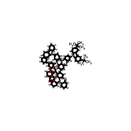 CC(C)(C)c1ccc2c(c1)c1cc(C(C)(C)C)ccc1n2-c1ccc2c(c1)Sc1cc(-c3cc4c5c(c3-c3ccccc3-c3ccccc3)Oc3ccccc3B5c3ccccc3O4)cc3c1B2c1ccc(-n2c4ccccc4c4ccccc42)cc1N3c1cc(-c2ccccc2)cc(-c2ccccc2)c1